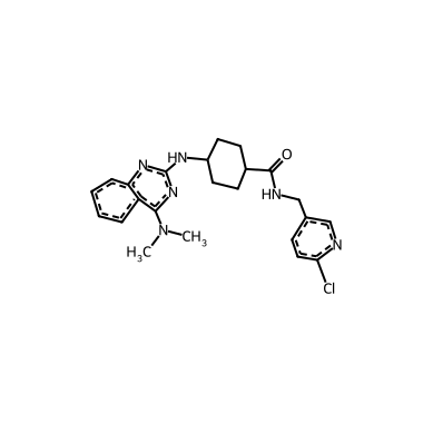 CN(C)c1nc(NC2CCC(C(=O)NCc3ccc(Cl)nc3)CC2)nc2ccccc12